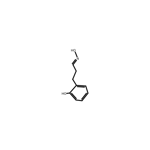 ON=CCCc1ccccc1O